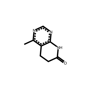 Cc1ncnc2c1CCC(=O)N2